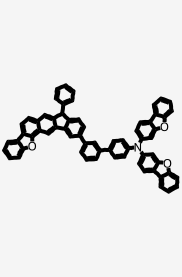 c1ccc(C2c3ccc(-c4cccc(-c5ccc(N(c6ccc7c(c6)oc6ccccc67)c6ccc7c(c6)oc6ccccc67)cc5)c4)cc3-c3cc4c(ccc5c6ccccc6oc45)cc32)cc1